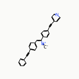 [C-]#[N+]C(=Cc1ccc(C#Cc2ccccc2)cc1)c1ccc(C#Cc2ccncc2)cc1